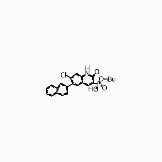 CCC(C)OP(=O)(O)c1cc2cc(-c3ccc4ccccc4c3)c(Cl)cc2[nH]c1=O